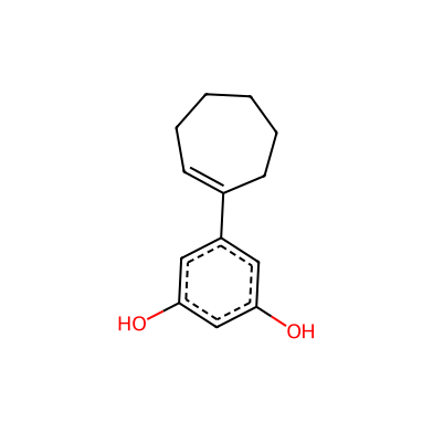 Oc1cc(O)cc(C2=CCCCCC2)c1